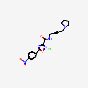 Cl.O=C(NCC#CCN1CCCC1)c1noc(-c2ccc([N+](=O)[O-])cc2)n1